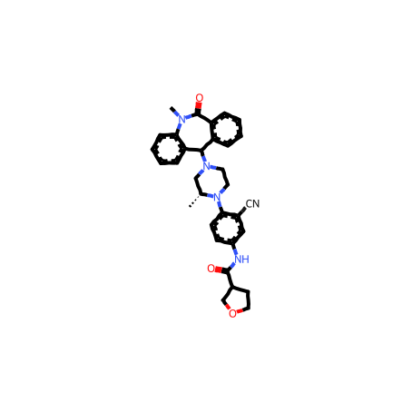 C[C@@H]1CN(C2c3ccccc3C(=O)N(C)c3ccccc32)CCN1c1ccc(NC(=O)C2CCOC2)cc1C#N